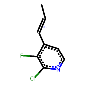 C/C=C/c1ccnc(Cl)c1F